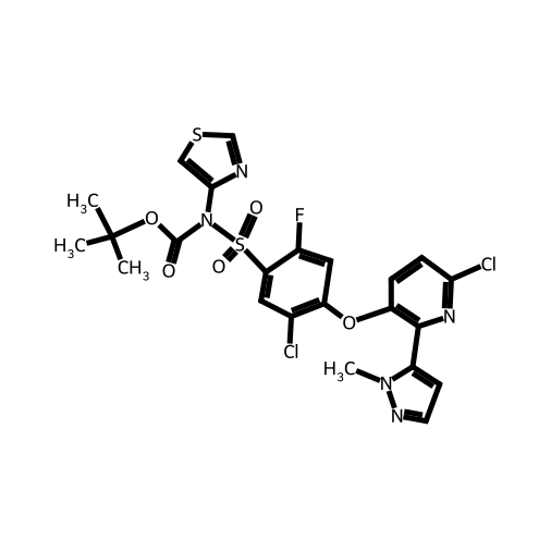 Cn1nccc1-c1nc(Cl)ccc1Oc1cc(F)c(S(=O)(=O)N(C(=O)OC(C)(C)C)c2cscn2)cc1Cl